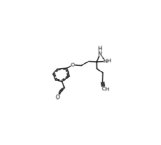 C#CCCC1(CCOc2cccc(C=O)c2)NN1